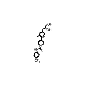 Cc1cc(C[C@@H](O)CO)cnc1C1=CCN(C(=O)Nc2ccc(C(F)(F)F)cn2)CC1